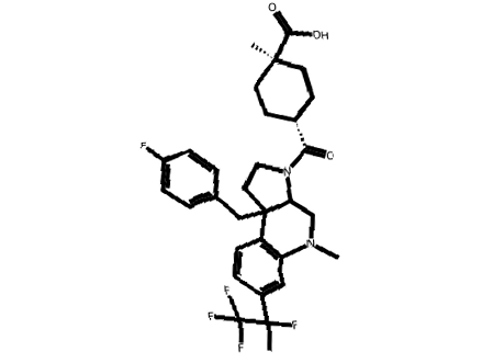 CN1CC2N(C(=O)[C@H]3CC[C@](C)(C(=O)O)CC3)CCC2(Cc2ccc(F)cc2)c2ccc(C(C)(F)C(F)(F)F)cc21